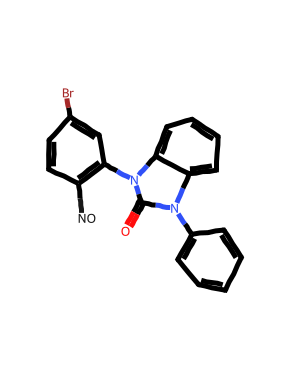 O=Nc1ccc(Br)cc1-n1c(=O)n(-c2ccccc2)c2ccccc21